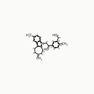 Cc1ccc2c(c1)c1c(n2CC(O)c2ccc(C)c(CO)c2)CCN(C)CC1